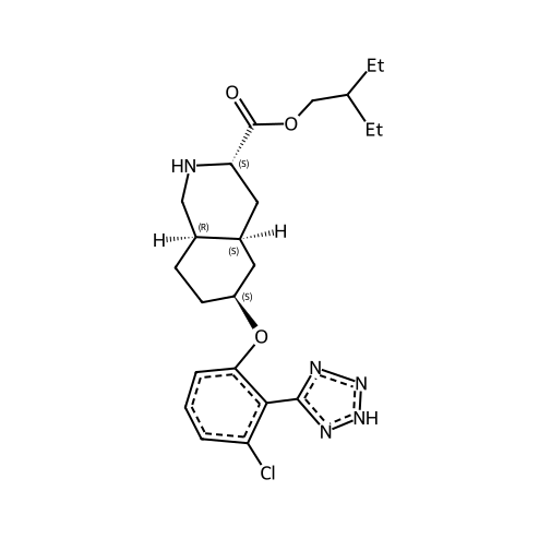 CCC(CC)COC(=O)[C@@H]1C[C@H]2C[C@@H](Oc3cccc(Cl)c3-c3nn[nH]n3)CC[C@H]2CN1